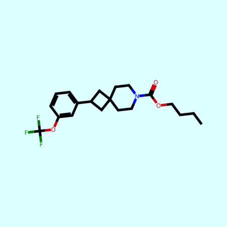 CCCCOC(=O)N1CCC2(CC1)CC(c1cccc(OC(F)(F)F)c1)C2